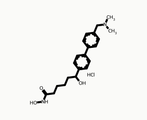 CN(C)Cc1ccc(-c2ccc(C(O)CCCCC(=O)NO)cc2)cc1.Cl